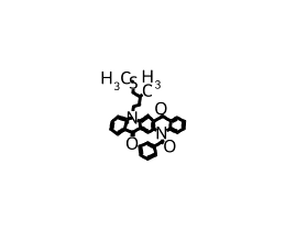 CSCC(C)CCn1c2ccccc2c(=O)c2cc3c(cc21)c(=O)c1ccccc1n3C(=O)c1ccccc1